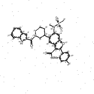 CNC(=O)c1c(-c2ccc(F)cc2)oc2cc(N(C)S(C)(=O)=O)c(C3CCCN(C(=O)c4cc5ccccc5[nH]4)C3)cc12